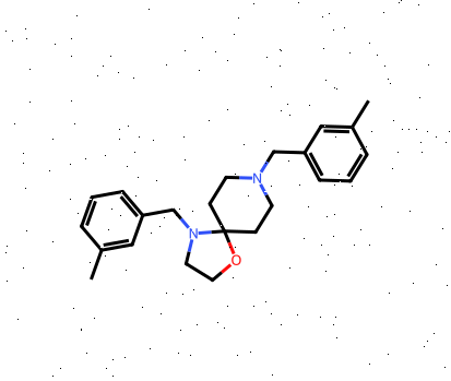 Cc1cccc(CN2CCC3(CC2)OCCN3Cc2cccc(C)c2)c1